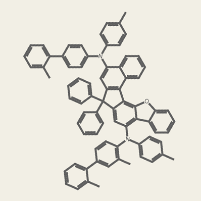 Cc1ccc(N(c2ccc(-c3ccccc3C)cc2)c2cc3c(c4ccccc24)-c2c(cc(N(c4ccc(C)cc4)c4ccc(-c5ccccc5C)cc4C)c4c2oc2ccccc24)C3(c2ccccc2)c2ccccc2)cc1